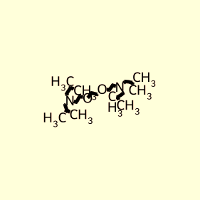 CC(C)CN(CCOCCOCCN(CC(C)C)CC(C)C)CC(C)C